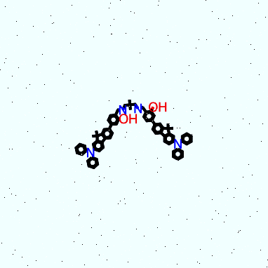 CC(C)(C/N=C/c1ccc(-c2ccc3c(c2)C(C)(C)c2cc(N(c4ccccc4)c4ccccc4)ccc2-3)cc1O)C/N=C/c1ccc(-c2ccc3c(c2)C(C)(C)c2cc(N(c4ccccc4)c4ccccc4)ccc2-3)cc1O